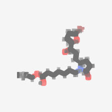 CCOC(=O)CCCCCCN1C(=O)CC[C@@H]1C=CC(=O)c1ccc(Br)o1